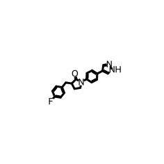 O=C1C(Cc2ccc(F)cc2)CCN1c1ccc(-c2cn[nH]c2)cc1